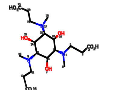 CN(CCC(=O)O)[C@H]1[C@@H](O)[C@@H](N(C)CCC(=O)O)[C@@H](O)[C@@H](N(C)CCC(=O)O)[C@H]1O